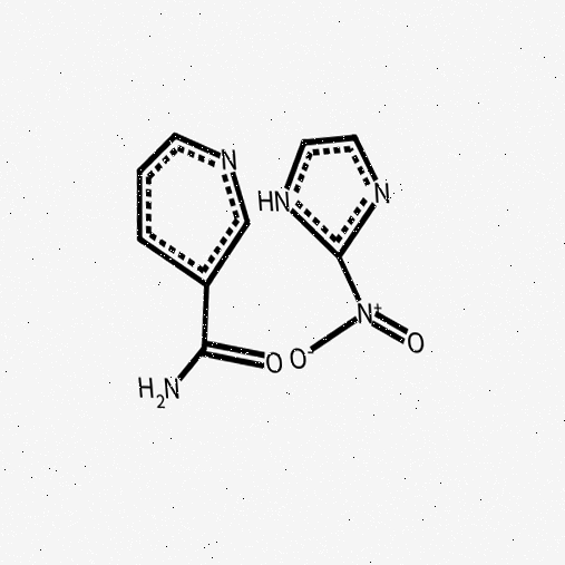 NC(=O)c1cccnc1.O=[N+]([O-])c1ncc[nH]1